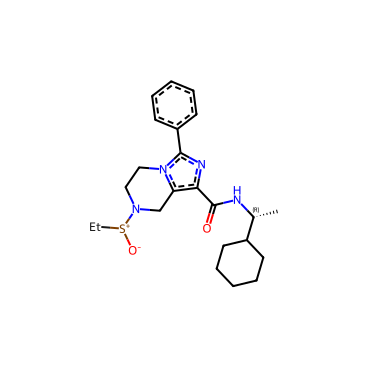 CC[S+]([O-])N1CCn2c(-c3ccccc3)nc(C(=O)N[C@H](C)C3CCCCC3)c2C1